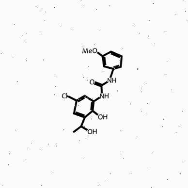 COc1cccc(NC(=O)Nc2cc(Cl)cc(C(C)O)c2O)c1